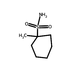 CC1(S(N)(=O)=O)CCCCC1